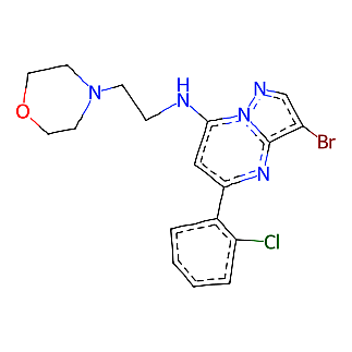 Clc1ccccc1-c1cc(NCCN2CCOCC2)n2ncc(Br)c2n1